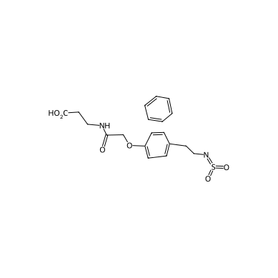 O=C(O)CCNC(=O)COc1ccc(CCN=S(=O)=O)cc1.c1ccccc1